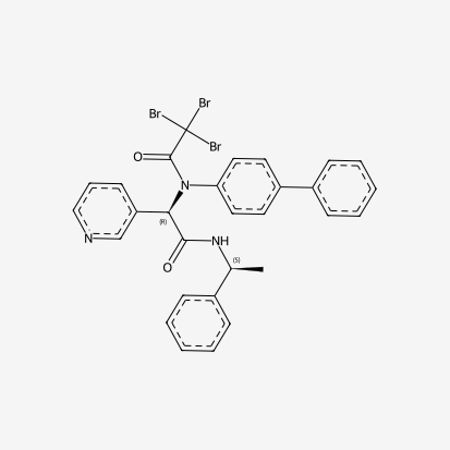 C[C@H](NC(=O)[C@@H](c1cccnc1)N(C(=O)C(Br)(Br)Br)c1ccc(-c2ccccc2)cc1)c1ccccc1